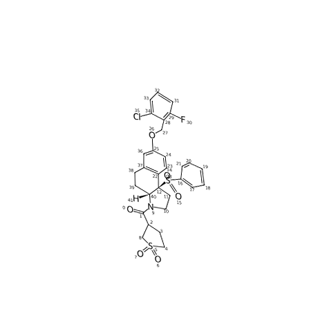 O=C(C1CCS(=O)(=O)C1)N1CC[C@@]2(S(=O)(=O)c3ccccc3)c3ccc(OCc4c(F)cccc4Cl)cc3CC[C@@H]12